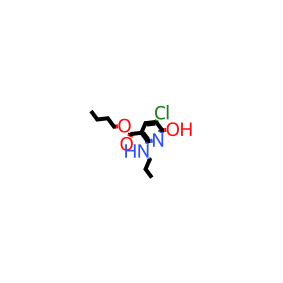 CCCCOC(=O)c1cc(Cl)c(O)nc1NCCC